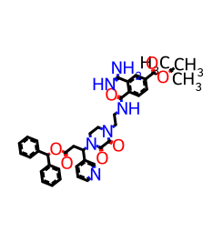 CC(C)(C)OC(=O)c1ccc(C(=O)NCCN2CCN(C(CC(=O)OC(c3ccccc3)c3ccccc3)c3cccnc3)C(=O)C2=O)c(C(=N)N)c1